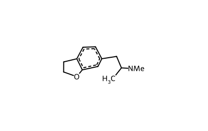 CNC(C)Cc1ccc2c(c1)OCC2